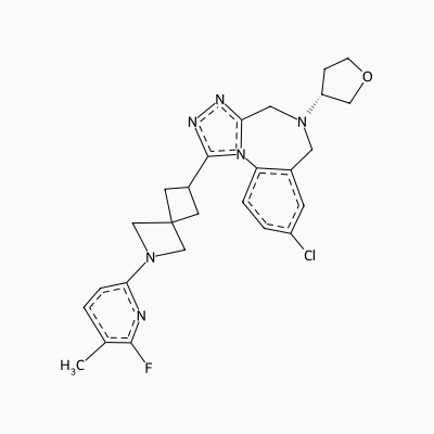 Cc1ccc(N2CC3(CC(c4nnc5n4-c4ccc(Cl)cc4CN([C@@H]4CCOC4)C5)C3)C2)nc1F